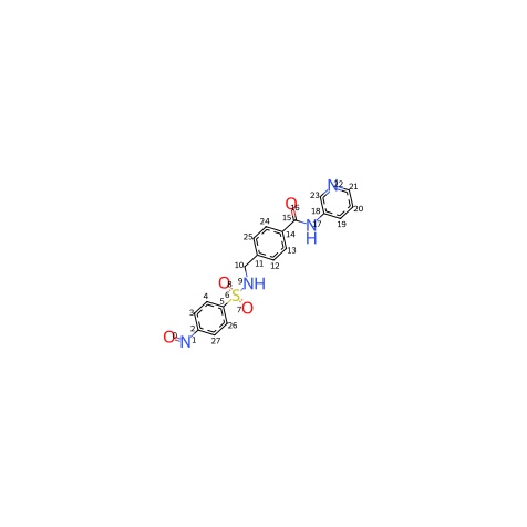 O=Nc1ccc(S(=O)(=O)NCc2ccc(C(=O)Nc3cccnc3)cc2)cc1